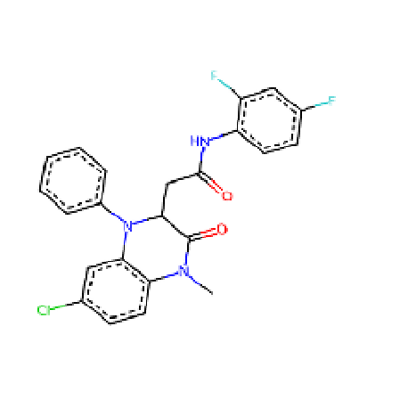 CN1C(=O)C(CC(=O)Nc2ccc(F)cc2F)N(c2ccccc2)c2cc(Cl)ccc21